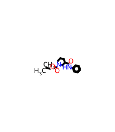 CC(C)COC(=O)N1CCCC(C(=O)Nc2ccccc2)C1